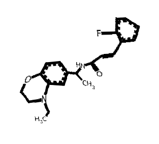 CCN1CCOc2ccc(C(C)NC(=O)C=Cc3ccccc3F)cc21